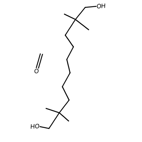 C=O.CC(C)(CO)CCCCCCC(C)(C)CO